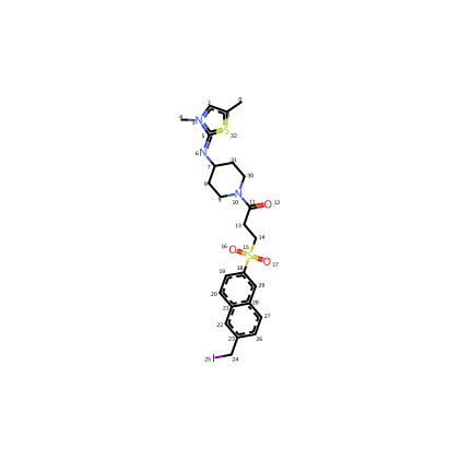 Cc1cn(C)/c(=N/C2CCN(C(=O)CCS(=O)(=O)c3ccc4cc(CI)ccc4c3)CC2)s1